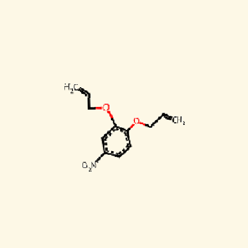 C=CCOc1c[c]c([N+](=O)[O-])cc1OCC=C